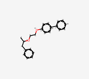 CC(Cc1ccccc1)OCCOc1ccc(-c2ccccc2)cc1